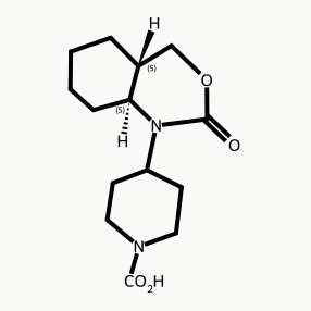 O=C(O)N1CCC(N2C(=O)OC[C@H]3CCCC[C@@H]32)CC1